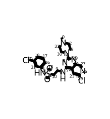 CN1CCN(c2nc(NCCS(=O)(=O)Nc3cccc(Cl)c3)c3cc(Cl)ncc3n2)CC1